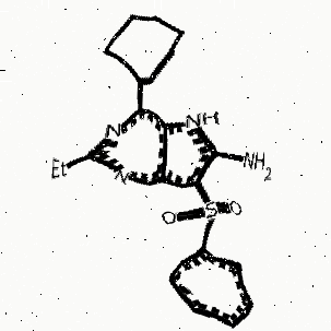 CCc1nc(C2CCCCC2)c2[nH]c(N)c(S(=O)(=O)c3ccccc3)c2n1